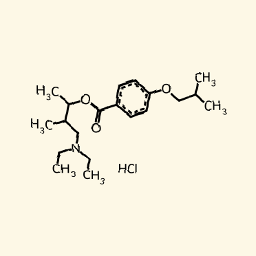 CCN(CC)CC(C)C(C)OC(=O)c1ccc(OCC(C)C)cc1.Cl